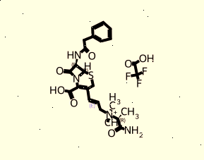 C[C@H](C(N)=O)[N+](C)(C)C/C=C/C1=C(C(=O)O)N2C(=O)[C@@H](NC(=O)Cc3ccccc3)[C@H]2SC1.O=C(O)C(F)(F)F